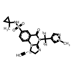 [2H]C([2H])(c1cnn(C)c1)N1C(=O)c2cc(S(=O)(=O)NC3(C)CC3)ccc2N2C1=NC[C@@H]2C#C